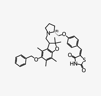 Cc1c(C)c2c(c(C)c1OCc1ccccc1)C(CN1CCC[C@@H]1COc1ccc(C=C3SC(=O)NC3=O)cc1)C(C)(C)O2